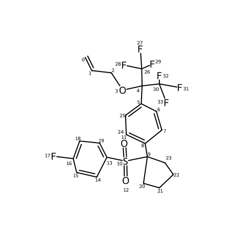 C=CCOC(c1ccc(C2(S(=O)(=O)c3ccc(F)cc3)CCCC2)cc1)(C(F)(F)F)C(F)(F)F